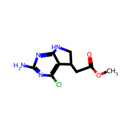 COC(=O)CC1CNc2nc(N)nc(Cl)c21